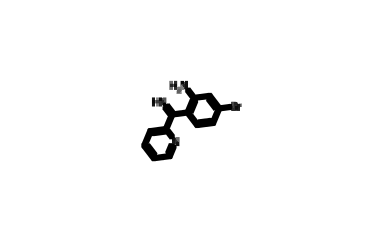 N=C(c1ccccn1)c1ccc(Br)cc1N